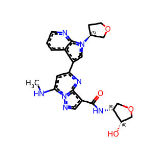 CNc1cc(-c2cn([C@H]3CCOC3)c3ncccc23)nc2c(C(=O)N[C@@H]3COC[C@@H]3O)cnn12